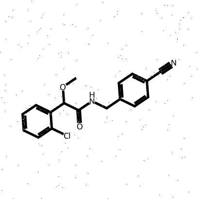 COC(C(=O)NCc1ccc(C#N)cc1)c1ccccc1Cl